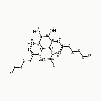 CCCCCC(=O)OC1C(O)C(O)C(O)C(OC(=O)CCCCC)C1OC(C)=O